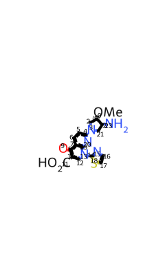 CO[C@H]1CN(c2ccc3c(=O)c(C(=O)O)cn(-c4nccs4)c3n2)CC1N